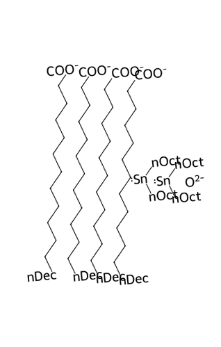 CCCCCCCCCCCCCCCCCCCCCC(=O)[O-].CCCCCCCCCCCCCCCCCCCCCC(=O)[O-].CCCCCCCCCCCCCCCCCCCCCC(=O)[O-].CCCCCCCCCCCCCCCCCCCCCC(=O)[O-].CCCCCCC[CH2][Sn][CH2]CCCCCCC.CCCCCCC[CH2][Sn][CH2]CCCCCCC.[O-2]